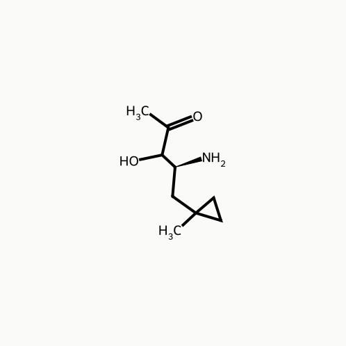 CC(=O)C(O)[C@@H](N)CC1(C)CC1